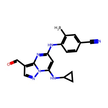 Bc1cc(C#N)ccc1Nc1cc(NC2CC2)n2ncc(C=O)c2n1